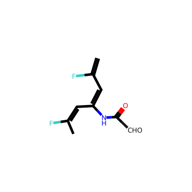 C=C(F)/C=C(\C=C(/C)F)NC(=O)C=O